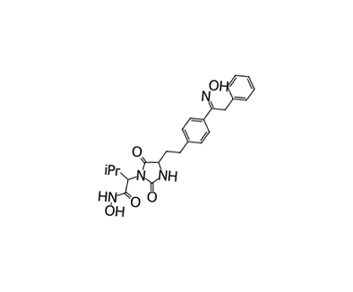 CC(C)C(C(=O)NO)N1C(=O)NC(CCc2ccc(C(Cc3ccccc3)=NO)cc2)C1=O